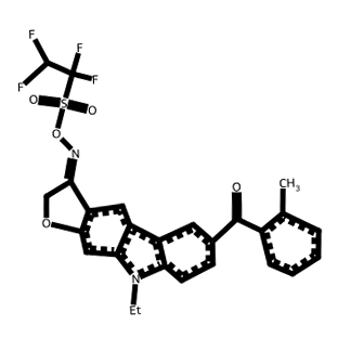 CCn1c2ccc(C(=O)c3ccccc3C)cc2c2cc3c(cc21)OC/C3=N\OS(=O)(=O)C(F)(F)C(F)F